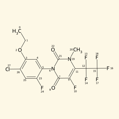 CCOc1cc(-n2c(=O)c(F)c(C(F)(F)C(F)(F)F)n(C)c2=O)c(F)cc1Cl